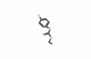 CCOC(=O)Oc1ccc(F)cc1